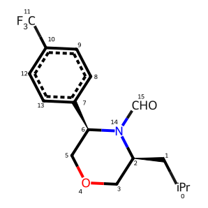 CC(C)C[C@H]1COC[C@@H](c2ccc(C(F)(F)F)cc2)N1C=O